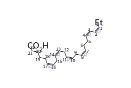 CC/C=C\C=C/CC/C=C\C/C=C\C/C=C\C/C=C\CCCCC(=O)O